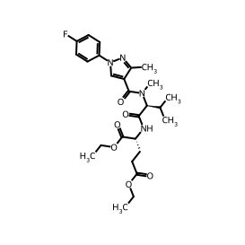 CCOC(=O)CC[C@@H](NC(=O)[C@H](C(C)C)N(C)C(=O)c1cn(-c2ccc(F)cc2)nc1C)C(=O)OCC